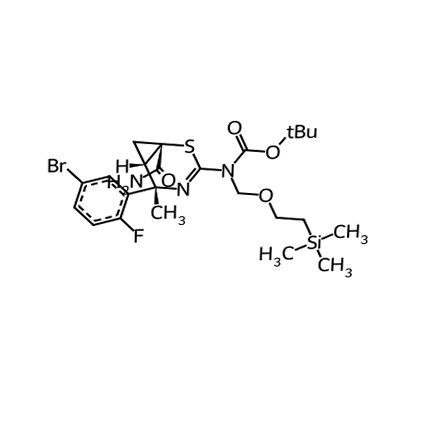 CC(C)(C)OC(=O)N(COCC[Si](C)(C)C)C1=N[C@](C)(c2cc(Br)ccc2F)[C@@H]2C[C@]2(C(N)=O)S1